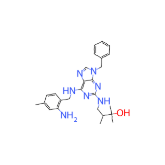 Cc1ccc(CNc2nc(NCC(C)C(C)(C)O)nc3c2ncn3Cc2ccccc2)c(N)c1